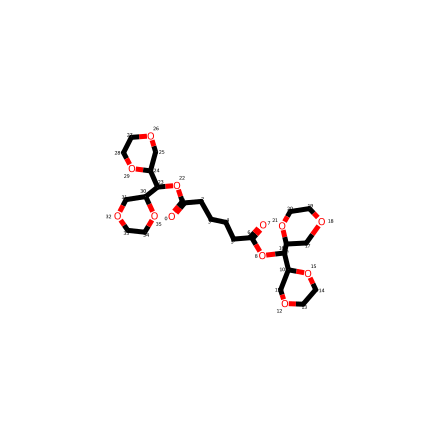 O=C(CCCCC(=O)OC(C1COCCO1)C1COCCO1)OC(C1COCCO1)C1COCCO1